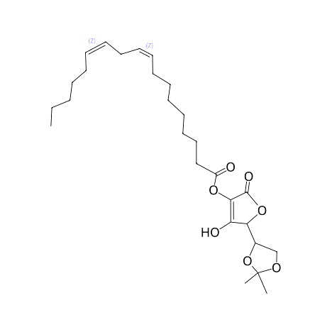 CCCCC/C=C\C/C=C\CCCCCCCC(=O)OC1=C(O)C(C2COC(C)(C)O2)OC1=O